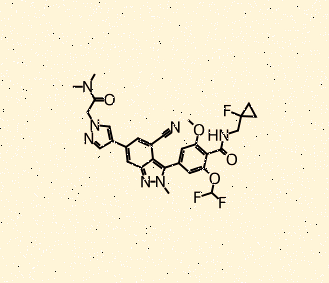 COc1cc(-c2c3c(C#N)cc(-c4cnn(CC(=O)N(C)C)c4)cc3nn2C)cc(OC(F)F)c1C(=O)NCC1(F)CC1